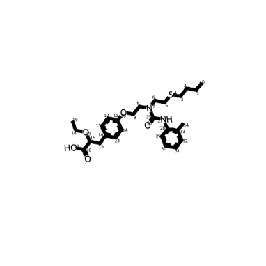 CCCCSCCN(CCOc1ccc(CC(OCC)C(=O)O)cc1)C(=O)Nc1ccccc1C